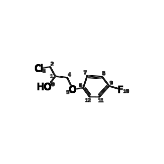 OC(CCl)COc1ccc(F)cc1